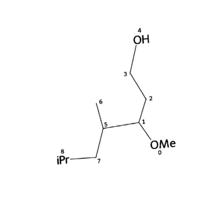 COC(CCO)C(C)CC(C)C